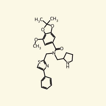 COc1cc(C(=O)N(Cc2nc(-c3ccccc3)cs2)CC2CCCN2)cc2c1OC(C)(C)O2